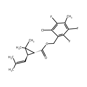 CC(C)=C[C@@H]1[C@@H](C(=O)OCc2c(F)c(F)c(C)c(F)c2Cl)C1(C)C